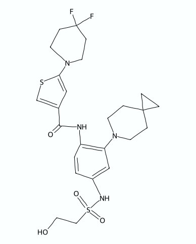 O=C(Nc1ccc(NS(=O)(=O)CCO)cc1N1CCC2(CC1)CC2)c1csc(N2CCC(F)(F)CC2)c1